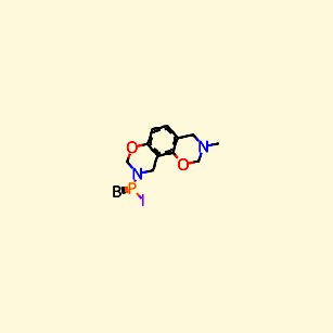 B#P(I)N1COc2ccc3c(c2C1)OCN(C)C3